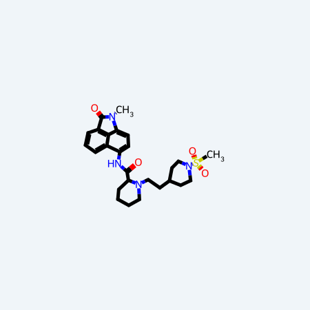 CN1C(=O)c2cccc3c(NC(=O)C4CCCCN4CCC4CCN(S(C)(=O)=O)CC4)ccc1c23